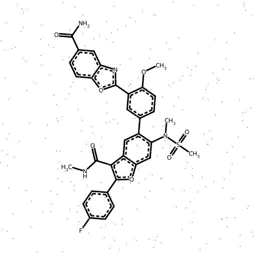 CNC(=O)c1c(-c2ccc(F)cc2)oc2cc(N(C)S(C)(=O)=O)c(-c3ccc(OC)c(-c4nc5cc(C(N)=O)ccc5o4)c3)cc12